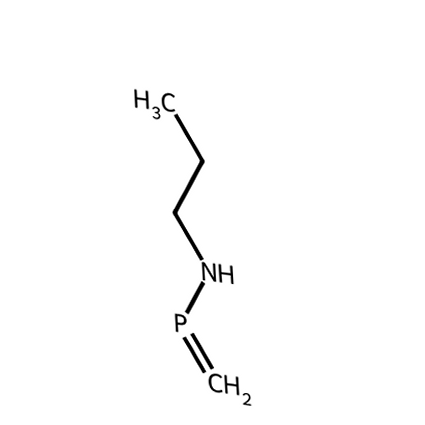 C=PNCCC